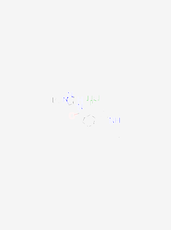 CC(C)(C)n1cc(NC(=O)c2cccc(C3CC3NCC3CC3)c2)cn1.Cl.Cl